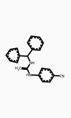 C=C(Nc1ccc(C#N)cc1)NC(c1ccccc1)c1ccccc1